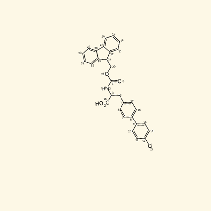 O=C(NC(Cc1ccc(-c2ccc(Cl)cc2)cc1)C(=O)O)OCC1c2ccccc2-c2ccccc21